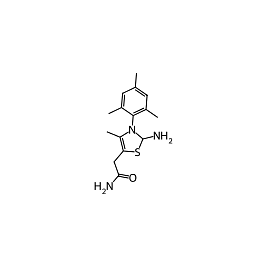 CC1=C(CC(N)=O)SC(N)N1c1c(C)cc(C)cc1C